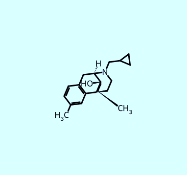 Cc1ccc2c(c1)[C@]13CCN(CC4CC4)[C@H](C2)[C@]1(O)CC[C@@H](C)C3